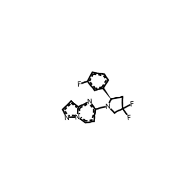 Fc1cccc([C@H]2CC(F)(F)CN2c2ccn3nccc3n2)c1